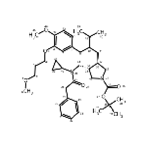 COCCCOc1cc(CC(C[C@H]2CN(C(=O)OC(C)(C)C)C[C@@H]2CN(C(=O)Cc2ccccc2)C2CC2)C(C)C)ccc1OC